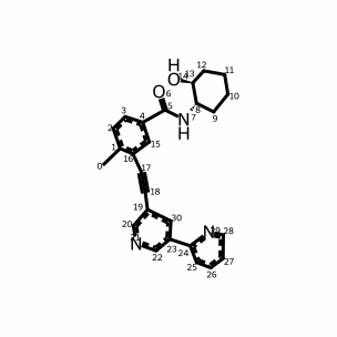 Cc1ccc(C(=O)N[C@H]2CCCC[C@@H]2O)cc1C#Cc1cncc(-c2ccccn2)c1